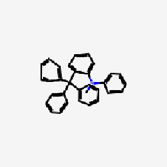 CN(c1ccccc1)c1ccccc1C(c1ccccc1)(c1ccccc1)c1ccccc1